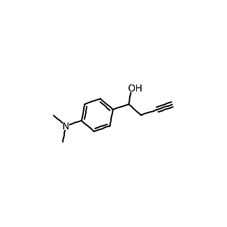 C#CCC(O)c1ccc(N(C)C)cc1